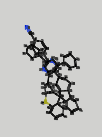 N#Cc1ccc(C2=CC=C(c3ccc4c(c3)C3(c5cc(-c6cc(-c7ccccc7)nc(C7=CC=CCC7)n6)ccc5SC5=CC=CCC53)c3ccccc3-4)CC2)cc1